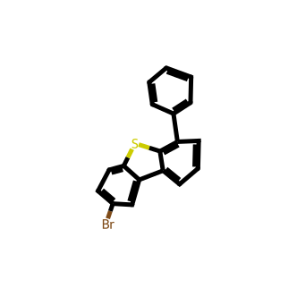 Brc1ccc2sc3c(-c4ccccc4)cccc3c2c1